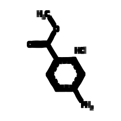 COC(=O)c1ccc(P)cc1.Cl